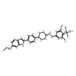 CCOc1ccc2cc(-c3ccc(C4CCC(OCc5cc(F)c(C(F)(F)F)c(F)c5)CC4)cc3)sc2c1